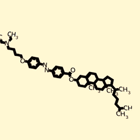 CCN(CC)CCCCOc1ccc(N=Nc2ccc(C(=O)OC3CCC4(C)C(=CCC5C4CCC4(C)C(C(C)CCCC(C)C)CCC54)C3)cc2)cc1